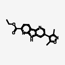 CCOC(=O)c1ccc2c(n1)[nH]c1cc(-c3c(C)noc3C)cnc12